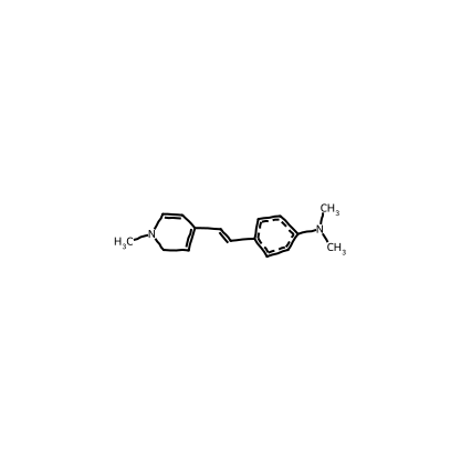 CN1C=CC(C=Cc2ccc(N(C)C)cc2)=CC1